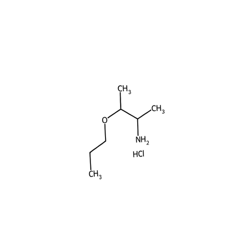 CCCOC(C)C(C)N.Cl